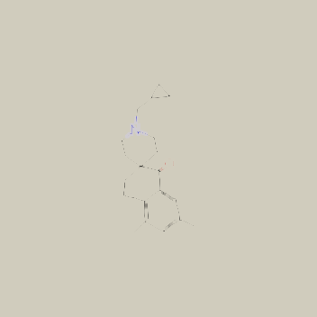 Cc1cc(C)c2c(c1)C(=O)C1(CC2)CCN(CC2CC2)CC1